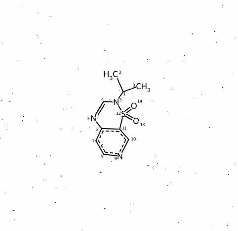 CC(C)N1C=Nc2ccncc2S1(=O)=O